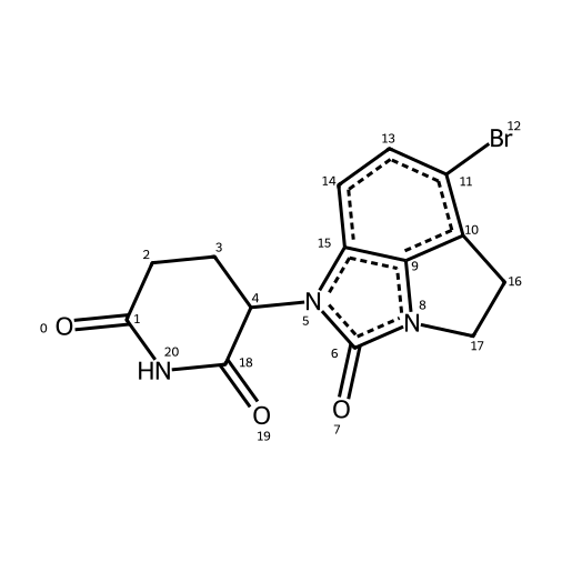 O=C1CCC(n2c(=O)n3c4c(c(Br)ccc42)CC3)C(=O)N1